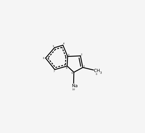 CC1=Cc2ccccc2[CH]1[Na]